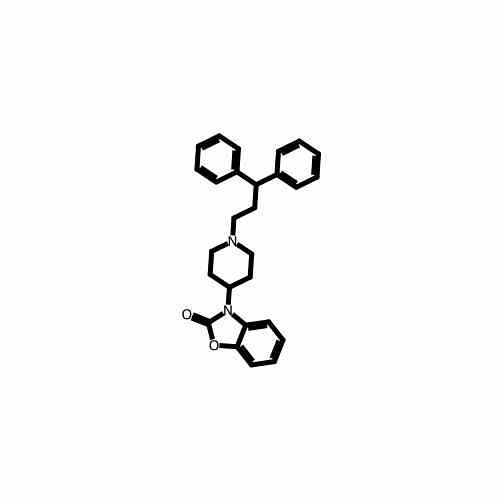 O=c1oc2ccccc2n1C1CCN(CCC(c2ccccc2)c2ccccc2)CC1